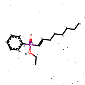 CCCCCCC=CP(=O)(OCC)c1ccccc1